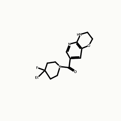 CCC1(F)CCN(C(=O)c2cnc3c(c2)OCCN3)CC1